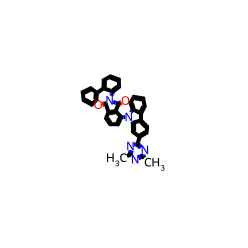 Cc1nc(C)nc(-c2ccc3c4ccccc4n(-c4cccc5c4C(=O)N(c4ccccc4-c4ccccc4)C5=O)c3c2)n1